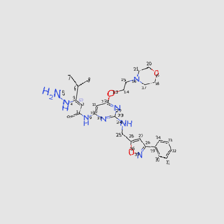 C=C(/C=C(\NN)C(C)C)Nc1cc(OCCN2CCOCC2)nc(NCc2cc(-c3ccccc3)no2)n1